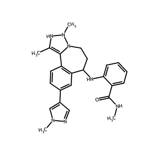 CNC(=O)c1ccccc1NC1CCN2C(=C(C)NN2C)c2ccc(-c3cnn(C)c3)cc21